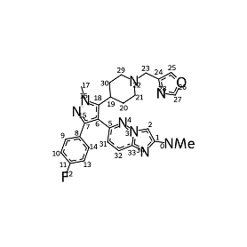 CNc1cn2nc(-c3c(-c4ccc(F)cc4)nn(C)c3C3CCN(Cc4cocn4)CC3)ccc2n1